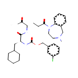 COC(=O)[C@H](CCC(=O)N1CCN(C(=O)O)Cc2ccccc21)NC(=O)[C@H](CC1CCCCC1)NC(=O)OCc1cccc(Cl)c1